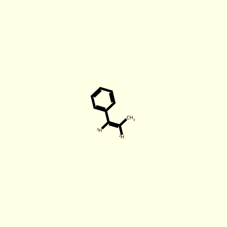 [2H]C(C)=C([2H])c1ccccc1